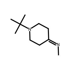 CN=C1CCN(C(C)(C)C)CC1